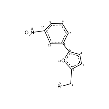 CC(C)Cc1ccc(-c2cccc([N+](=O)[O-])c2)o1